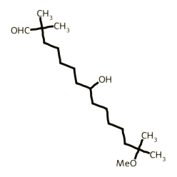 COC(C)(C)CCCCCC(O)CCCCCC(C)(C)C=O